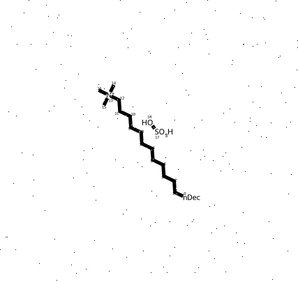 CCCCCCCCCCCCCCCCCCCCCC[N+](C)(C)C.O=S(=O)(O)O